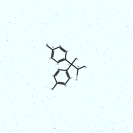 Cc1ccc(C(C)(c2ccc(C)cc2)C(C)I)cc1